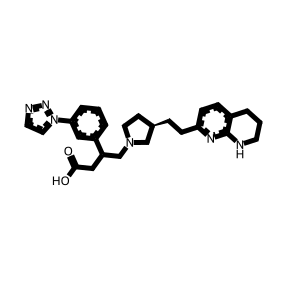 O=C(O)CC(CN1CC[C@@H](CCc2ccc3c(n2)NCCC3)C1)c1cccc(-n2ccnn2)c1